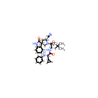 CC(C)(C)C[C@H](NC(=O)[C@@H](Nc1ccccc1)C1CC1)C(=O)N1C[C@]2(C[C@H]1C#N)C(=O)Nc1ccccc12